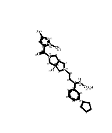 C1CCCC1.CCc1cc(C(=O)N2CC3CN(CCC(NC(=O)O)c4ccccc4)C[C@H]3C2)n(C)n1